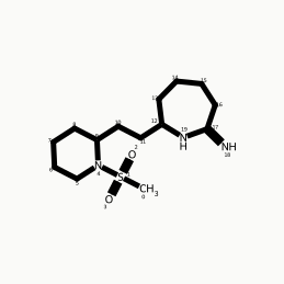 CS(=O)(=O)N1CCCCC1CCC1CCCCC(=N)N1